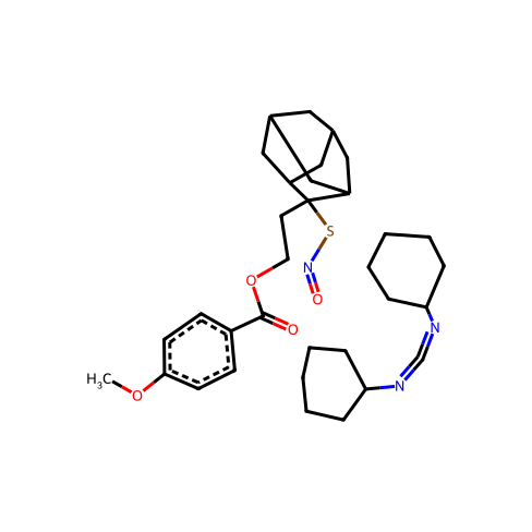 C(=NC1CCCCC1)=NC1CCCCC1.COc1ccc(C(=O)OCCC2(SN=O)C3CC4CC(C3)CC2C4)cc1